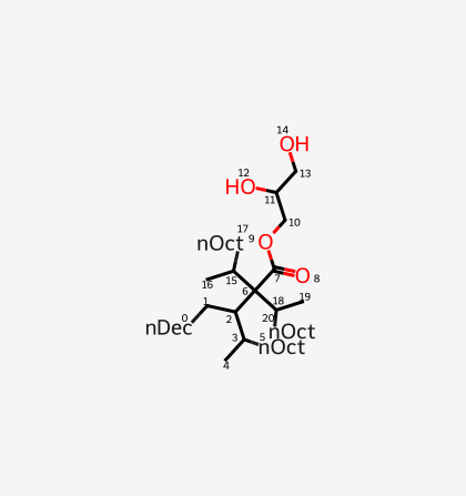 CCCCCCCCCCCC(C(C)CCCCCCCC)C(C(=O)OCC(O)CO)(C(C)CCCCCCCC)C(C)CCCCCCCC